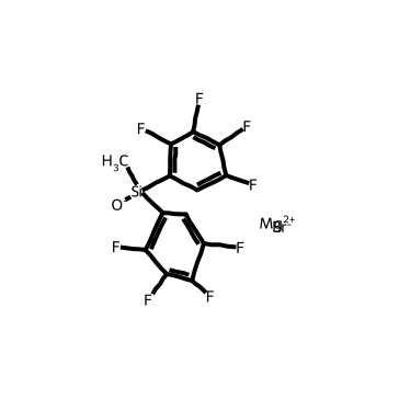 C[Si]([O-])(c1cc(F)c(F)c(F)c1F)c1cc(F)c(F)c(F)c1F.[Br-].[Mg+2]